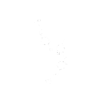 Cc1cc(Oc2ccc(OCC3CO3)cc2)nc(Oc2ccc(OCC3CO3)cc2)c1